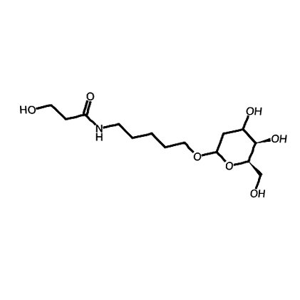 O=C(CCO)NCCCCCOC1CC(O)[C@@H](O)[C@@H](CO)O1